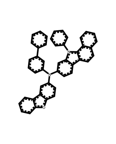 c1ccc(-c2cccc(N(c3ccc4oc5ccccc5c4c3)c3ccc4c5ccc6ccccc6c5n(-c5ccccc5)c4c3)c2)cc1